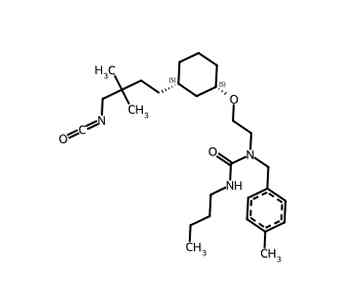 CCCCNC(=O)N(CCO[C@H]1CCC[C@@H](CCC(C)(C)CN=C=O)C1)Cc1ccc(C)cc1